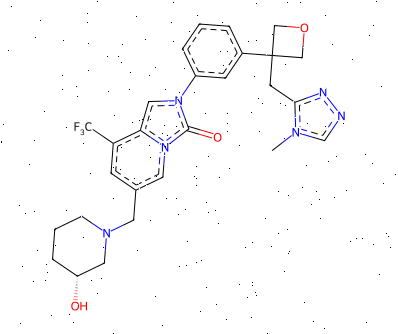 Cn1cnnc1CC1(c2cccc(-n3cc4c(C(F)(F)F)cc(CN5CCC[C@@H](O)C5)cn4c3=O)c2)COC1